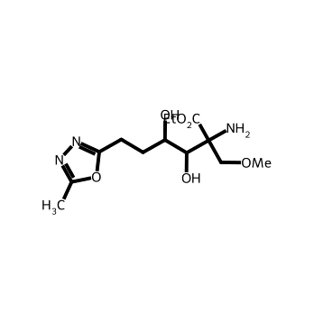 CCOC(=O)C(N)(COC)C(O)C(O)CCc1nnc(C)o1